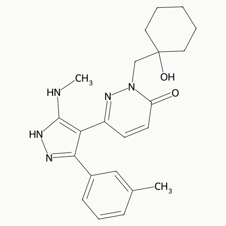 CNc1[nH]nc(-c2cccc(C)c2)c1-c1ccc(=O)n(CC2(O)CCCCC2)n1